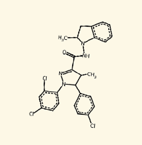 CC1C(C(=O)NN2c3ccccc3CC2C)=NN(c2ccc(Cl)cc2Cl)C1c1ccc(Cl)cc1